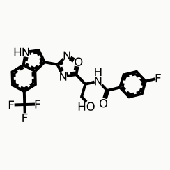 O=C(NC(CO)c1nc(-c2c[nH]c3ccc(C(F)(F)F)cc23)no1)c1ccc(F)cc1